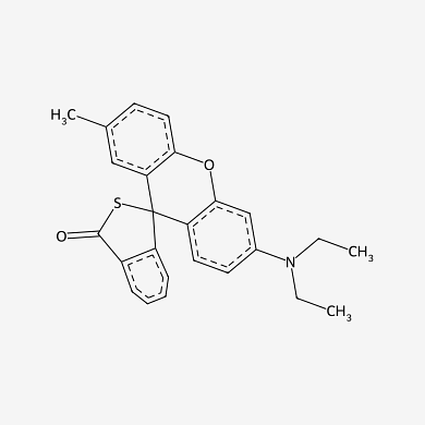 CCN(CC)c1ccc2c(c1)Oc1ccc(C)cc1C21SC(=O)c2ccccc21